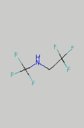 FC(F)(F)CNC(F)(F)F